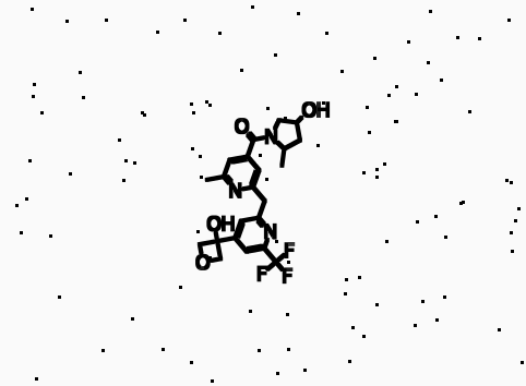 Cc1cc(C(=O)N2CC(O)CC2C)cc(Cc2cc(C3(O)COC3)cc(C(F)(F)F)n2)n1